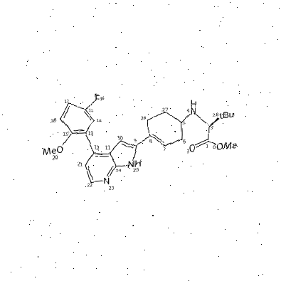 COC(=O)[C@@H](NC1CC=C(c2cc3c(-c4cc(F)ccc4OC)ccnc3[nH]2)CC1)C(C)(C)C